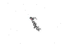 Cn1nc(CN2CCC3(CC2)COc2c3ccc3c2CN(C2CCC(=O)NC2=O)C3=O)c2ccccc21